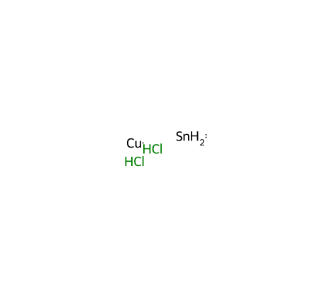 Cl.Cl.[Cu].[SnH2]